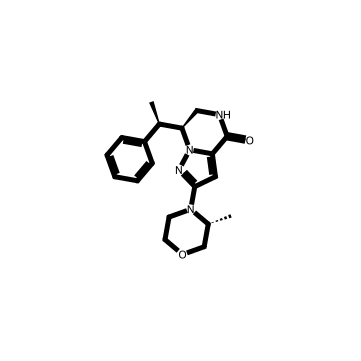 C[C@H](c1ccccc1)[C@H]1CNC(=O)c2cc(N3CCOC[C@H]3C)nn21